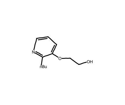 CCCCc1ncccc1OCCO